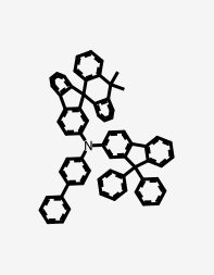 CC1(C)c2ccccc2C2(c3ccccc3-c3ccc(N(c4ccc(-c5ccccc5)cc4)c4ccc5c(c4)C(c4ccccc4)(c4ccccc4)c4ccccc4-5)cc32)c2ccccc21